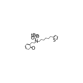 CC(C)(C)OC(=O)N(CCCCCCc1cccs1)CCC1=CC=CCC1=O